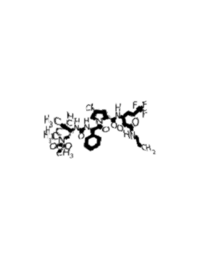 C=CCNC(=O)C(=O)C(CCC(F)(F)F)NC(=O)[C@@H]1C[C@@H](Cl)CN1C(=O)[C@@H](NC(=O)N[C@H](CN(C)S(C)(=O)=O)C(C)(C)C)C1CCCCC1